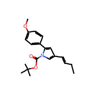 CC/C=C/c1cc(-c2ccc(OC)cc2)n(C(=O)OC(C)(C)C)c1